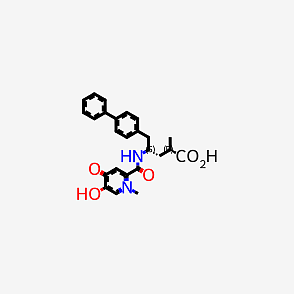 C[C@H](C[C@@H](Cc1ccc(-c2ccccc2)cc1)NC(=O)c1cc(=O)c(O)cn1C)C(=O)O